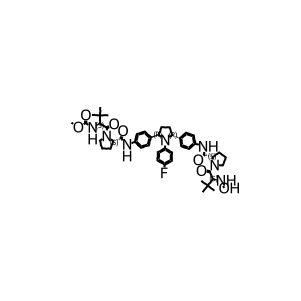 COC(=O)N[C@H](C(=O)N1CCC[C@H]1C(=O)Nc1ccc([C@H]2CC[C@H](c3ccc(NC(=O)[C@@H]4CCCN4C(=O)[C@@H](NO)C(C)(C)C)cc3)N2c2ccc(F)cc2)cc1)C(C)(C)C